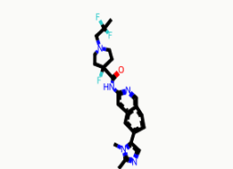 Cc1ncc(-c2ccc3cnc(NC(=O)C4(F)CCN(CC(C)(F)F)CC4)cc3c2)n1C